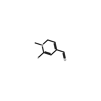 CN1CC=C(C=O)C=C1I